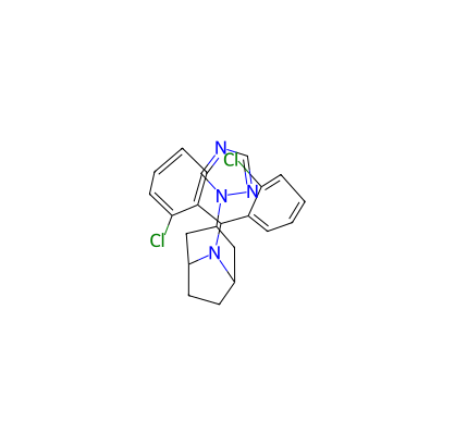 Clc1ccccc1C(c1ccccc1Cl)N1C2CCC1CC(n1cncn1)C2